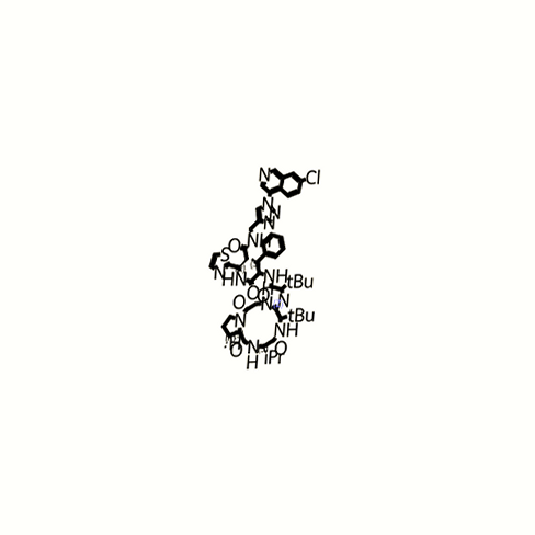 CC(C)[C@@H]1NC(=O)[C@@H]2[C@H](C)CCN2C(=O)CN/C(=N\C(C(=O)NC(C(=O)N[C@H](CC(=O)NCc2cn(-c3cncc4cc(Cl)ccc34)nn2)c2nccs2)[C@@H](C)c2ccccc2)C(C)(C)C)C(C(C)(C)C)NC1=O